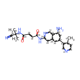 Cc1ccncc1-c1cc(N)c2cnc(NC(=O)/C=C/C(=O)NC(C)(C)C#N)cc2c1